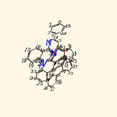 c1ccc(-c2cc(-c3ccccc3)nc(-c3ccccc3N3c4ccccc4C4(c5ccccc5-c5ccccc54)c4ccccc43)n2)cc1